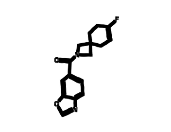 O=C(c1ccc2ncoc2c1)N1CC2(CC=C(F)CC2)C1